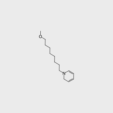 COCCCCCCCCN1C=CC=CC1